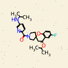 CC(C)Nc1ccc(C(=O)N2CCC3(CC2)C[C@@H](OC(C)C)c2cc(F)ccc2O3)nc1